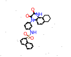 O=c1[nH]c2c3c(ccc2n(-c2cccc(NS(=O)(=O)c4cccc5ccccc45)c2)c1=O)CCCC3